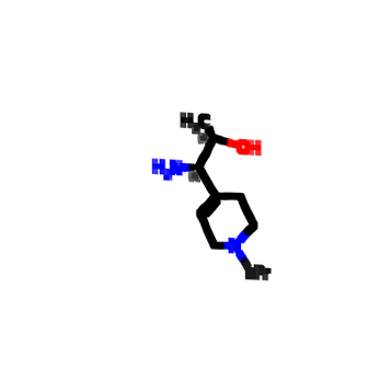 CCCN1CC=C([C@@H](N)[C@@H](C)O)CC1